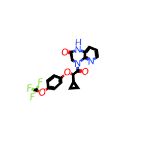 O=C1CN(C(=O)C(Oc2ccc(OC(F)(F)F)cc2)C2CC2)c2ncccc2N1